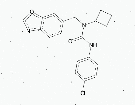 O=C(Nc1ccc(Cl)cc1)N(Cc1ccc2ncoc2c1)C1CCC1